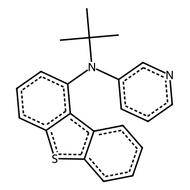 CC(C)(C)N(c1cccnc1)c1cccc2sc3ccccc3c12